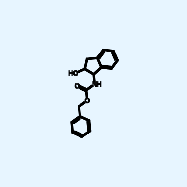 O=C(NC1c2ccccc2CC1O)OCc1ccccc1